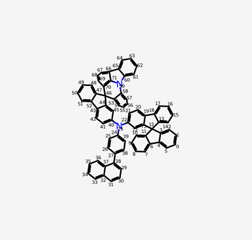 c1ccc2c(c1)-c1ccccc1C21c2ccccc2-c2ccc(N(c3ccc(-c4cccc5ccccc45)cc3)c3ccc4c(c3)C3(c5ccccc5-4)c4ccccc4-n4c5ccccc5c5cccc3c54)cc21